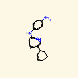 CN(c1ccc(N)cc1)c1ccc(C2CCCCC2)cn1